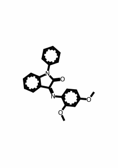 COc1ccc(N=C2C(=O)N(c3ccccc3)c3ccccc32)c(OC)c1